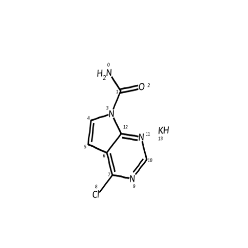 NC(=O)n1ccc2c(Cl)ncnc21.[KH]